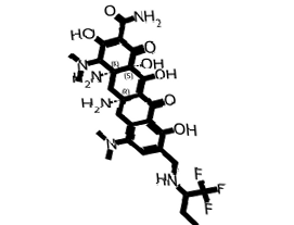 CCC(NCc1cc(N(C)C)c2c(c1O)C(=O)C1=C(O)[C@]3(O)C(=O)C(C(N)=O)=C(O)C(N(C)C)[C@]3(N)C[C@]1(N)C2)C(F)(F)F